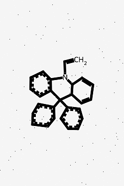 C=CN1c2ccccc2C(c2ccccc2)(c2ccccc2)C2C=CC=CC21